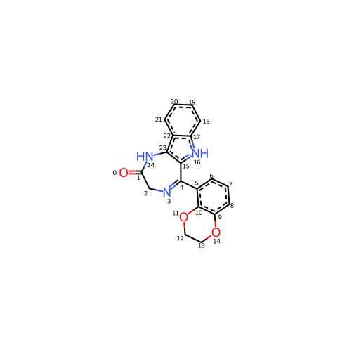 O=C1CN=C(c2cccc3c2OCCO3)c2[nH]c3ccccc3c2N1